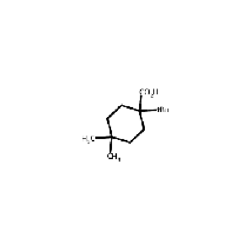 CC1(C)CCC(C(=O)O)(C(C)(C)C)CC1